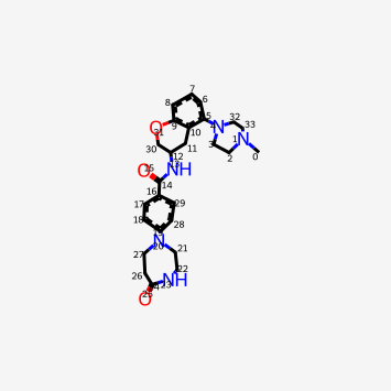 CN1CCN(c2cccc3c2CC(NC(=O)c2ccc(N4CCNC(=O)CC4)cc2)CO3)CC1